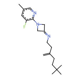 C=C(CCN=C1CN(c2ncc(C)cc2F)C1)CCC(C)(C)C